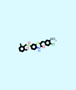 Cc1cccc(C)c1CS(=O)(=O)c1ccc2c(c1)SC(=Cc1ccc(Cl)c([N+](=O)[O-])c1)C(=O)N2